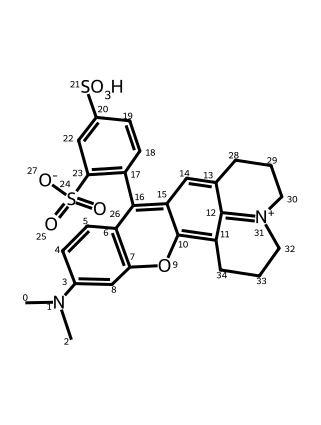 CN(C)c1ccc2c(c1)Oc1c3c4c(cc1=C2c1ccc(S(=O)(=O)O)cc1S(=O)(=O)[O-])CCC[N+]=4CCC3